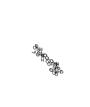 C=C(CC)[C@H]1CCC(c2nc3ccc4cc5c(cc4c3[nH]2)oc(=O)c2cc(-c3cnc(C4C[C@H](COC)CN4C(=O)[C@H](NC(=O)OC)c4ccccc4)[nH]3)ccc25)N1C(=O)[C@H](C)NC(=O)OC